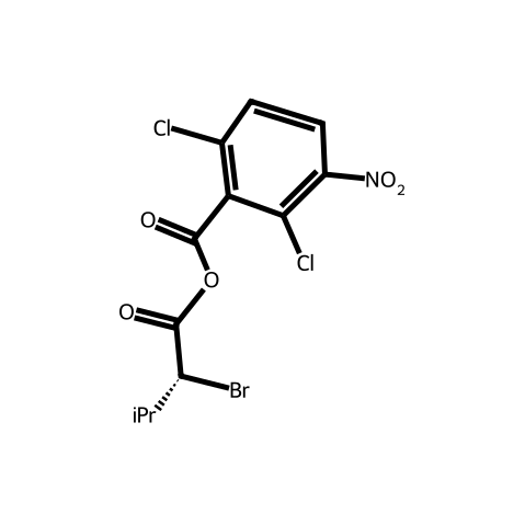 CC(C)[C@@H](Br)C(=O)OC(=O)c1c(Cl)ccc([N+](=O)[O-])c1Cl